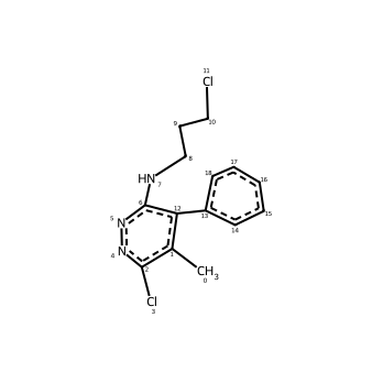 Cc1c(Cl)nnc(NCCCCl)c1-c1ccccc1